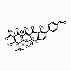 C[C@H]1c2ccc(-c3ccc(C=O)cc3)c(O)c2C(=O)C2=C(O)[C@]3(O)C(=O)C(C(N)=O)=C(O)[C@@H](N(C)C)[C@@H]3[C@@H](O)[C@@H]21